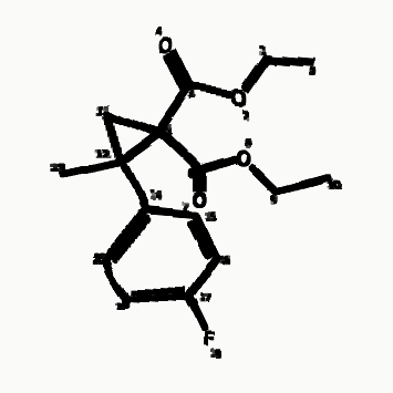 CCOC(=O)C1(C(=O)OCC)CC1(C)c1ccc(F)cc1